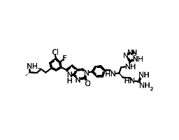 C[C@H](N)CCCc1cc(Cl)c(F)c(-c2cc3cn(-c4ccc(CN[C@H](CCNC(=N)N)CNc5nnn[nH]5)cc4)c(=O)nc3[nH]2)c1